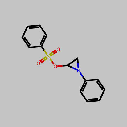 O=S(=O)(OC1CN1c1ccccc1)c1ccccc1